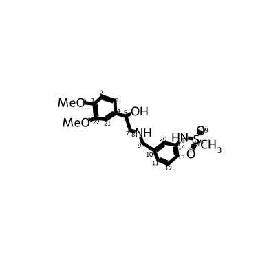 COc1ccc(C(O)CNCc2cccc(NS(C)(=O)=O)c2)cc1OC